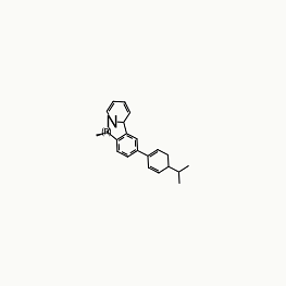 CC(C)C1C=CC(c2ccc3c(c2)C2C=CC=CN2[C@@H]3C)=CC1